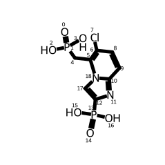 O=P(O)(O)Cc1c(Cl)ccc2nc(P(=O)(O)O)cn12